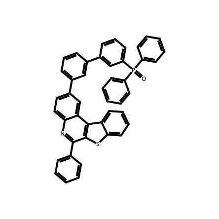 O=P(c1ccccc1)(c1ccccc1)c1cccc(-c2cccc(-c3ccc4nc(-c5ccccc5)c5sc6ccccc6c5c4c3)c2)c1